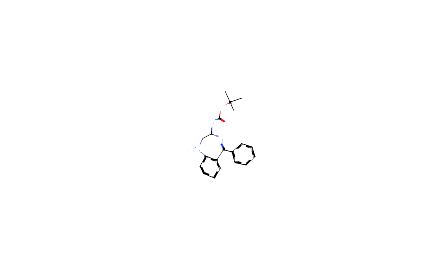 CC(C)(C)OC(=O)NC1CNc2ccccc2C(c2ccccc2)=N1